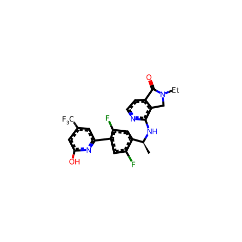 CCN1Cc2c(ccnc2N[C@@H](C)c2cc(F)c(-c3cc(C(F)(F)F)cc(O)n3)cc2F)C1=O